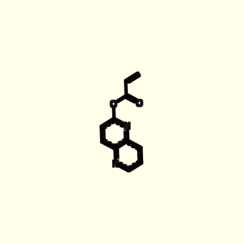 C=CC(=O)Oc1ccc2ncccc2n1